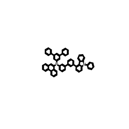 c1ccc(-c2cc(-c3ccccc3)cc(N(c3cccc(-c4cccc(-c5cccc6c5c5ccccc5n6-c5ccccc5)c4)c3)c3cc4ccccc4c4ccccc34)c2)cc1